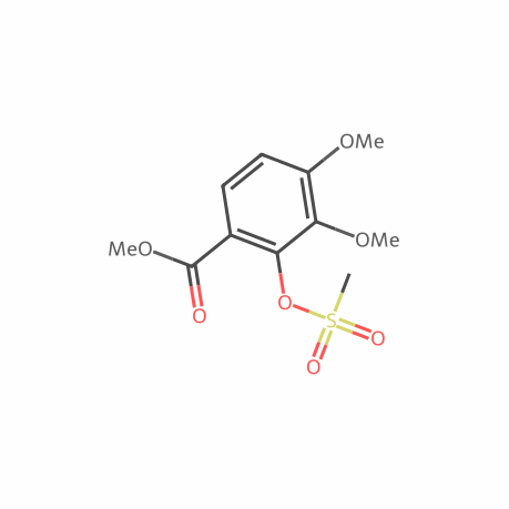 COC(=O)c1ccc(OC)c(OC)c1OS(C)(=O)=O